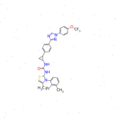 CC1=CSC(NC(=O)NC2CC2c2ccc(-c3ncn(-c4ccc(OC(F)(F)F)cc4)n3)cc2)N1c1cccc(C)c1C(C)C